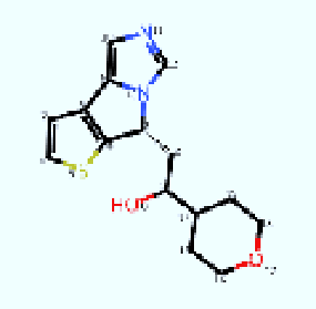 OC(C[C@@H]1c2sccc2-c2cncn21)C1CCOCC1